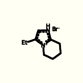 CCc1c[nH]c2[n+]1CCCC2.[Br-]